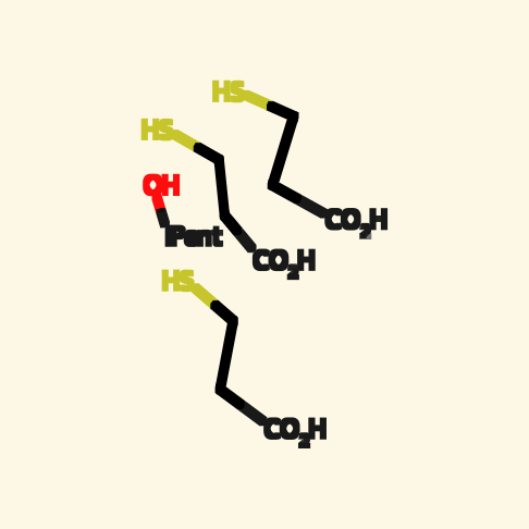 CCCC(C)O.O=C(O)CCS.O=C(O)CCS.O=C(O)CCS